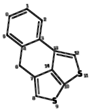 c1ccc2c(c1)Cc1csc3scc-2c13